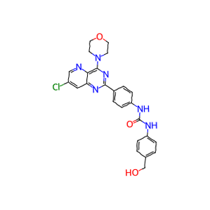 O=C(Nc1ccc(CO)cc1)Nc1ccc(-c2nc(N3CCOCC3)c3ncc(Cl)cc3n2)cc1